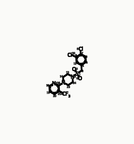 O=S(=O)(Cc1ccc(Cl)c(Cl)c1)N1CCN(c2ncccc2C(F)(F)F)CC1